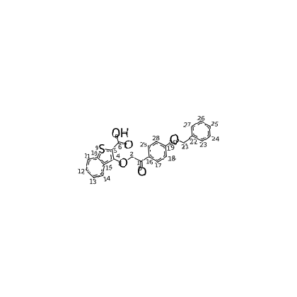 O=C(COc1c(C(=O)O)sc2ccccc12)c1ccc(OCc2ccccc2)cc1